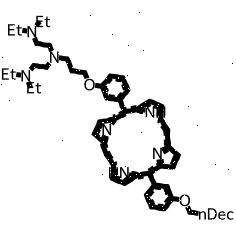 CCCCCCCCCCCOc1cccc(-c2c3nc(cc4ccc([nH]4)c(-c4cccc(OCCCN(CCN(CC)CC)CCN(CC)CC)c4)c4nc(cc5ccc2[nH]5)C=C4)C=C3)c1